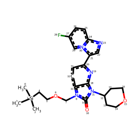 C[Si](C)(C)CCOCn1c(=O)n(C2CCOCC2)c2nc(-c3cnc4ccc(F)cn34)ccc21